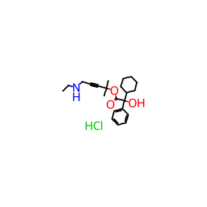 CCNCC#CC(C)(C)OC(=O)C(O)(c1ccccc1)C1CCCCC1.Cl